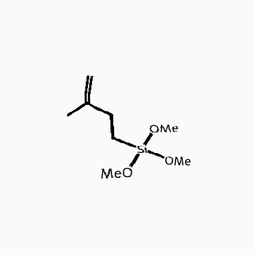 C=C(C)CC[Si](OC)(OC)OC